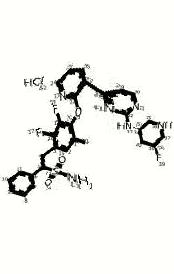 Cc1cc(CC(c2ccccc2)S(N)(=O)=O)c(F)c(F)c1Oc1ncccc1-c1ccnc(N[C@@H]2CNC[C@@H](F)C2)n1.Cl